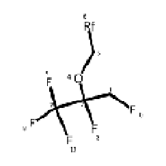 FCC(F)(O[CH2][Rf])C(F)(F)F